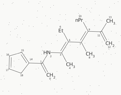 C=C(N/C(C)=C(CC)/C(C)=C(\CCC)C(=C)C)C1=CC=CC1